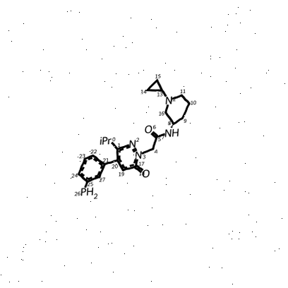 CC(C)c1nn(CC(=O)N[C@H]2CCCN(C3CC3)C2)c(=O)cc1-c1cccc(P)c1